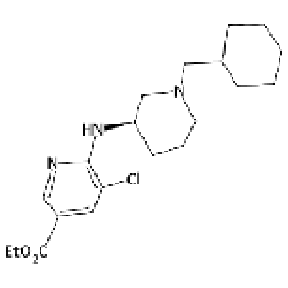 CCOC(=O)c1cnc(N[C@@H]2CCCN(CC3CCCCC3)C2)c(Cl)c1